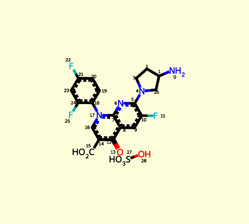 NC1CCN(c2nc3c(cc2F)c(=O)c(C(=O)O)cn3-c2ccc(F)cc2F)C1.O=S(=O)(O)O